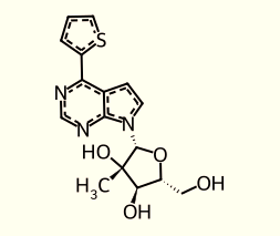 C[C@]1(O)[C@H](O)[C@@H](CO)O[C@H]1n1ccc2c(-c3cccs3)ncnc21